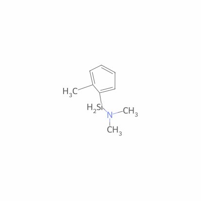 Cc1ccccc1[SiH2]N(C)C